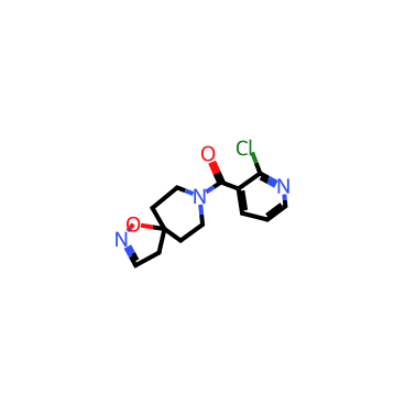 O=C(c1cccnc1Cl)N1CCC2(CC=NO2)CC1